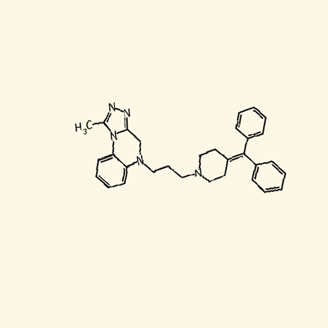 Cc1nnc2n1-c1ccccc1N(CCCN1CCC(=C(c3ccccc3)c3ccccc3)CC1)C2